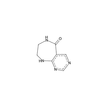 O=C1NCCNc2ncncc21